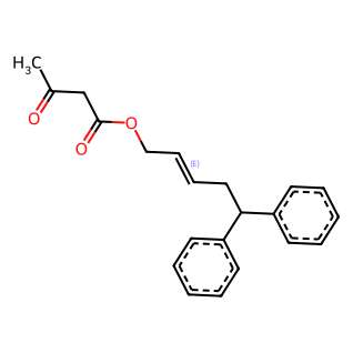 CC(=O)CC(=O)OC/C=C/CC(c1ccccc1)c1ccccc1